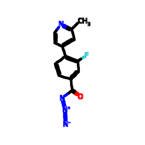 Cc1cc(-c2ccc(C(=O)N=[N+]=[N-])cc2F)ccn1